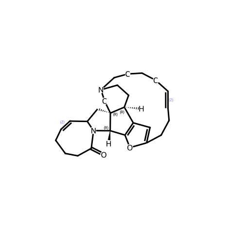 O=C1CCC/C=C\C2C[C@@]34CN5CCCC/C=C\CCc6cc(c(o6)[C@@H]3N12)[C@@H]4CC5